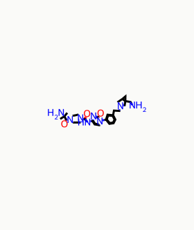 CC(C)(N)C(=O)N1CCN(C(=O)Nc2ccn(-c3cccc(CCN4CC5CC5(CN)C4)c3)c(=O)n2)CC1